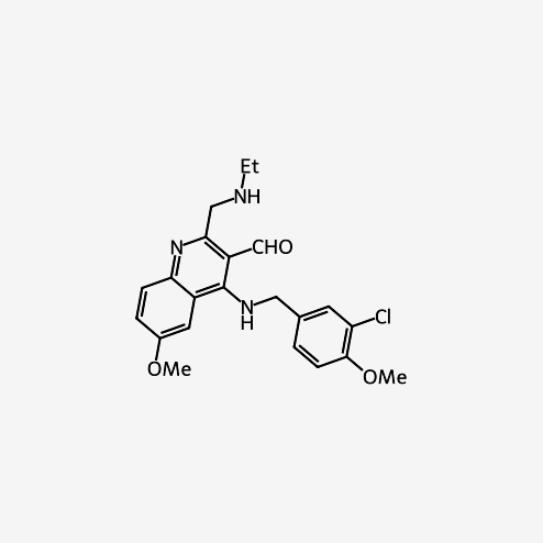 CCNCc1nc2ccc(OC)cc2c(NCc2ccc(OC)c(Cl)c2)c1C=O